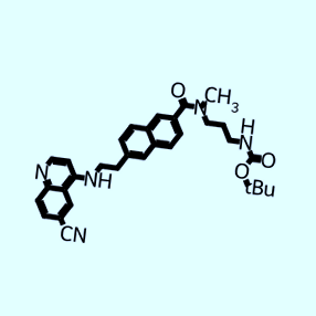 CN(CCCNC(=O)OC(C)(C)C)C(=O)c1ccc2cc(CCNc3ccnc4ccc(C#N)cc34)ccc2c1